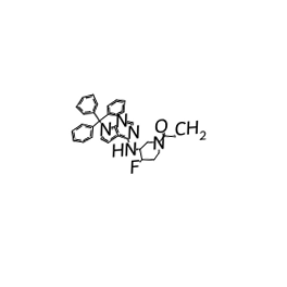 C=CC(=O)N1CC[C@@H](F)[C@@H](Nc2ncnc3c2ccn3C(c2ccccc2)(c2ccccc2)c2ccccc2)C1